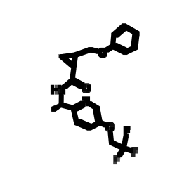 C[C@@H](NC(=O)C1CC1COc1ccccc1)c1ccc(OCC(F)(F)F)cn1